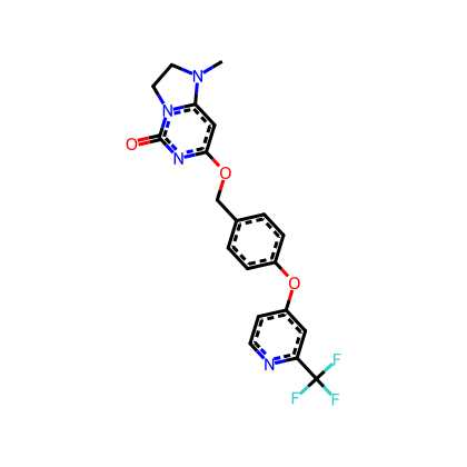 CN1CCn2c1cc(OCc1ccc(Oc3ccnc(C(F)(F)F)c3)cc1)nc2=O